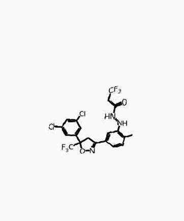 Cc1ccc(C2=NOC(c3cc(Cl)cc(Cl)c3)(C(F)(F)F)C2)cc1NNC(=O)CC(F)(F)F